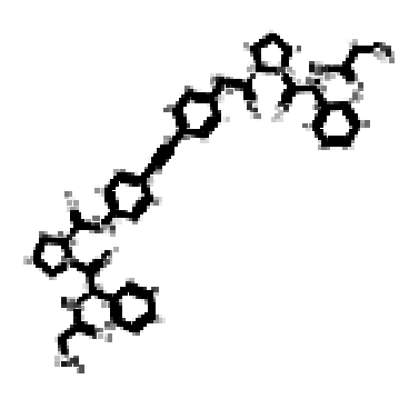 CCC(=O)N[C@@H](C(=O)N1CCC[C@H]1C(=O)Nc1ccc(C#Cc2ccc(NC(=O)[C@@H]3CCCN3C(=O)[C@H](NC(=O)CC)c3ccccc3)cc2)cc1)c1ccccc1